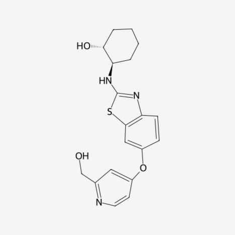 OCc1cc(Oc2ccc3nc(N[C@@H]4CCCC[C@H]4O)sc3c2)ccn1